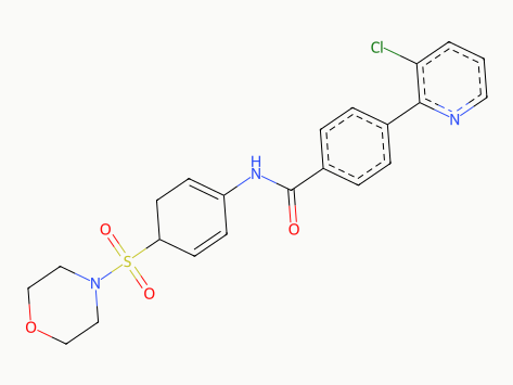 O=C(NC1=CCC(S(=O)(=O)N2CCOCC2)C=C1)c1ccc(-c2ncccc2Cl)cc1